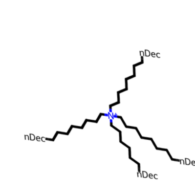 CCCCCCCCCCCCCCCCCC[N+](CCCCCCCCCCCCCCCC)(CCCCCCCCCCCCCCCCCC)CCCCCCCCCCCCCCCCCC